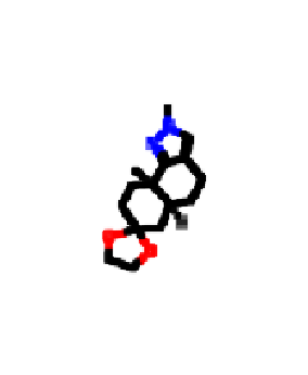 Cn1cc2c(n1)[C@@]1(C)CCC3(C[C@@H]1CC2)OCCO3